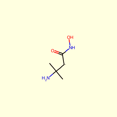 CC(C)(N)[CH]C(=O)NO